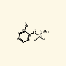 CCCC[Si](C)(C)Oc1ccccc1Br